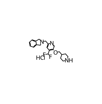 Cl.FC(F)c1cc(CN2Cc3ccccc3C2)ncc1OCC1CCNCC1